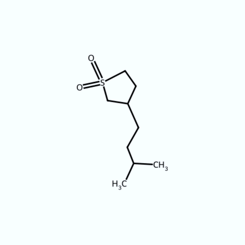 CC(C)CCC1CCS(=O)(=O)C1